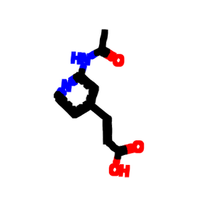 CC(=O)Nc1cc(C=CC(=O)O)ccn1